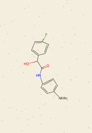 CC(=O)Nc1ccc(NC(=O)C(O)c2ccc(F)cc2)cc1